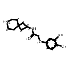 O=C(COc1ccc(Cl)c(F)c1)NC1CC2(CCNCC2)C1